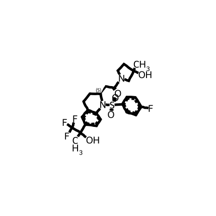 CC1(O)CCN(C(=O)C[C@@H]2CCc3cc(C(C)(O)C(F)(F)F)ccc3N2S(=O)(=O)c2ccc(F)cc2)C1